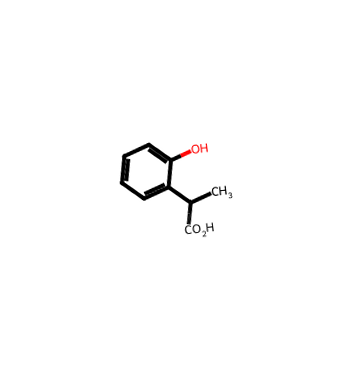 C[C](C(=O)O)c1ccccc1O